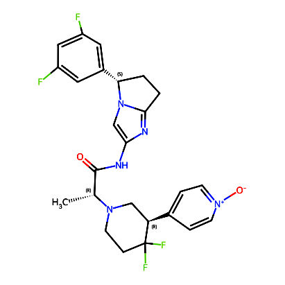 C[C@H](C(=O)Nc1cn2c(n1)CC[C@H]2c1cc(F)cc(F)c1)N1CCC(F)(F)[C@H](c2cc[n+]([O-])cc2)C1